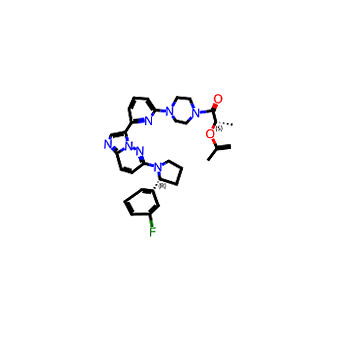 C=C(C)O[C@@H](C)C(=O)N1CCN(c2cccc(-c3cnc4ccc(N5CCC[C@@H]5c5cccc(F)c5)nn34)n2)CC1